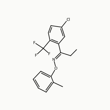 CC/C(=N\Oc1ccccc1C)c1cc(Cl)ccc1C(F)(F)F